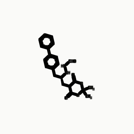 CC1(C)OC(=O)C(C[C@@H](Cc2ccc(-c3ccccc3)cc2)NBC=O)C(=O)O1